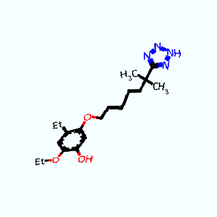 CCOc1cc(CC)c(OCCCCCC(C)(C)c2nn[nH]n2)cc1O